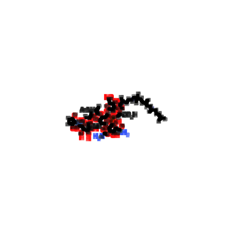 C=C(C/C=C(\C)CCC=C(C)C)CCC(C)(C)/C=C/CC/C(C)=C\CO[C@H](COP(=O)(O)O[C@H]1OC(C(N)=O)[C@@](C)(O)[C@H](OC(N)=O)C1O[C@@H]1OC(CO[C@@H]2OC(CO)[C@@H](O)C(O)[C@@H]2O)[C@@H](O[C@H](OC(C)[C@H](CO)O[C@@H]2OC(C(=O)NC3=C(O)CCC3=O)[C@H](O)C(O)[C@@H]2O)[C@H](C)NC(C)=O)C(O)[C@@H]1NC(C)=O)C(=O)O